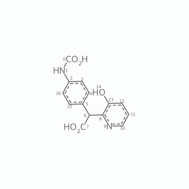 O=C(O)Nc1ccc(C(C(=O)O)c2ncccc2O)cc1